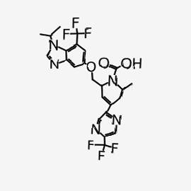 CC1CC(c2cnc(C(F)(F)F)cn2)=CC(COc2cc(C(F)(F)F)c3c(c2)ncn3C(C)C)N1C(=O)O